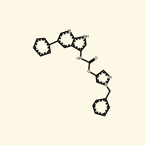 O=C(Nc1c[nH]c2ncc(-c3ccccc3)cc12)Oc1cnn(Cc2ccccc2)c1